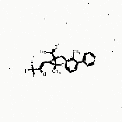 Cc1c(CC2(C(=O)O)C(C=C(Cl)C(F)(F)F)C2(C)C)cccc1-c1ccccc1